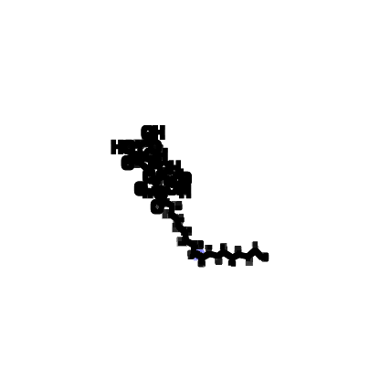 CCCCCCCC/C=C\CCCCCCCC(=O)O[C@@H](C=O)[C@@H](OC(=O)CC(O)(CC(=O)O)C(=O)O)[C@H](O)[C@H](O)CO